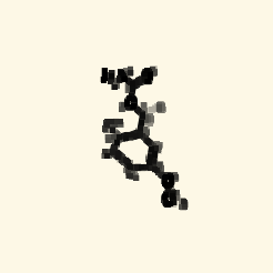 C[C@@H](OC(N)=O)c1cc(OC(F)(F)F)ccc1F